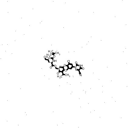 CCCC[C@H](NC(=O)OC(C)(C)C)C(=O)OCn1nc(Oc2c(Cl)cc(-n3nc(C#N)c(=O)[nH]c3=O)cc2Cl)cc(C(C)C)c1=O